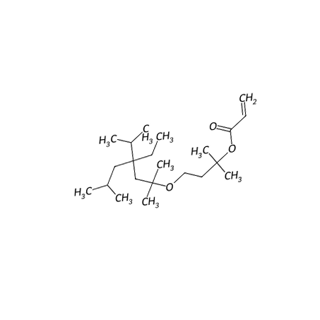 C=CC(=O)OC(C)(C)CCOC(C)(C)CC(CC)(CC(C)C)C(C)C